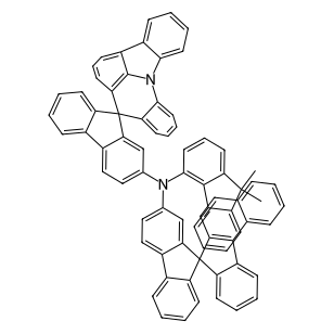 CC1(C)c2ccccc2-c2c(N(c3ccc4c(c3)C3(c5ccccc5-4)c4ccccc4-c4c3ccc3ccccc43)c3ccc4c(c3)C3(c5ccccc5-4)c4ccccc4-n4c5ccccc5c5cccc3c54)cccc21